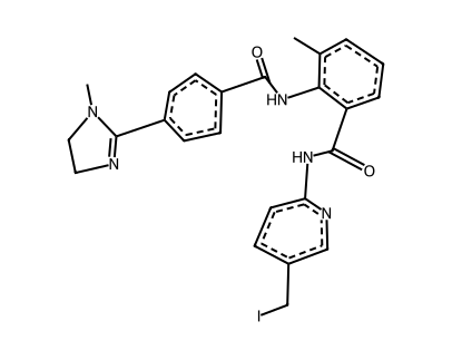 Cc1cccc(C(=O)Nc2ccc(CI)cn2)c1NC(=O)c1ccc(C2=NCCN2C)cc1